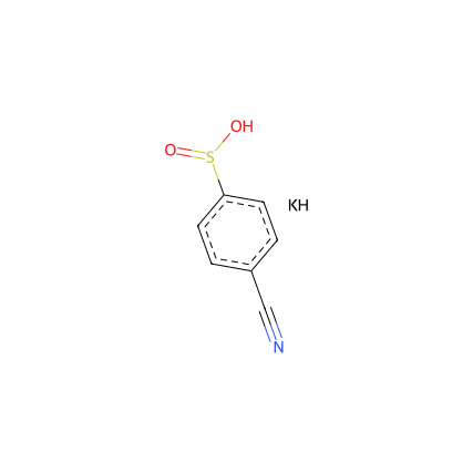 N#Cc1ccc(S(=O)O)cc1.[KH]